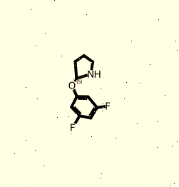 Fc1cc(F)cc(O[C@H]2CCCN2)c1